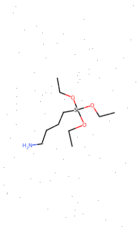 CCO[Si](CCC[CH]N)(OCC)OCC